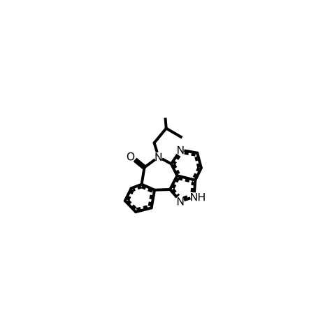 CC(C)CN1C(=O)c2ccccc2-c2n[nH]c3ccnc1c23